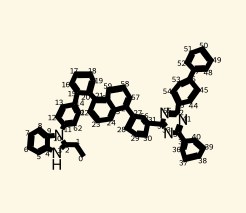 CCC1Nc2ccccc2N1c1ccc(-c2ccccc2-c2cccc3c(-c4cccc(-c5nc(-c6ccccc6)nc(-c6ccc(-c7ccccc7)cc6)n5)c4)cccc23)cc1